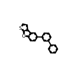 c1ccc(-c2cccc(-c3ccc4oc5sccc5c4c3)c2)cc1